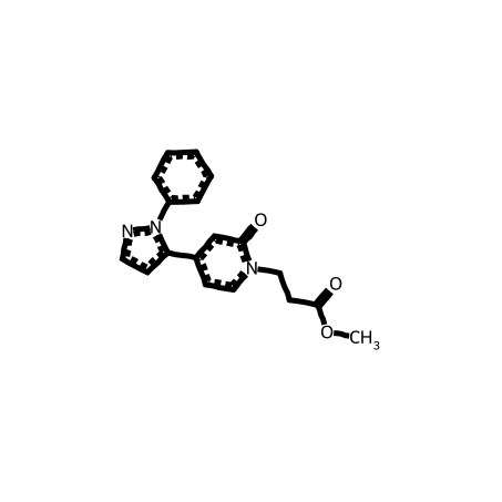 COC(=O)CCn1ccc(-c2ccnn2-c2ccccc2)cc1=O